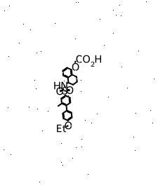 CCOc1ccc(-c2ccc(S(=O)(=O)NC3CCCc4c(OCC(=O)O)cccc43)cc2C)cc1